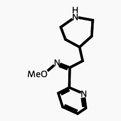 CON=C(CC1CCNCC1)c1ccccn1